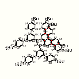 CC(C)(C)c1ccc(-c2cc(-c3ccc(C(C)(C)C)cc3)cc(P(CP(c3cc(-c4ccc(C(C)(C)C)cc4)cc(-c4ccc(C(C)(C)C)cc4)c3)c3cc(-c4ccc(C(C)(C)C)cc4)cc(-c4ccc(C(C)(C)C)cc4)c3)c3cc(-c4ccc(C(C)(C)C)cc4)cc(-c4ccc(C(C)(C)C)cc4)c3)c2)cc1